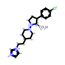 O=C(O)[C@@H]1C(c2ccc(Cl)cc2)CCN1N1CCC(CCn2ccnc2)CC1